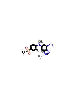 Cc1cc(S(C)(=O)=O)ccc1N(C)c1cc(N)c2ncn(C)c2c1